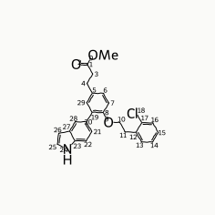 COC(=O)CCc1ccc(OCCc2ccccc2Cl)c(-c2ccc3[nH]ccc3c2)c1